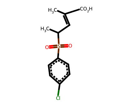 CC(=CC(C)S(=O)(=O)c1ccc(Cl)cc1)C(=O)O